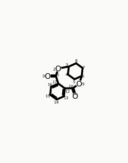 O=C1OC2CCC(CC2)OC(=O)c2ccccc21